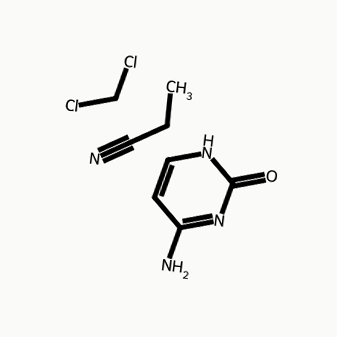 CCC#N.ClCCl.Nc1cc[nH]c(=O)n1